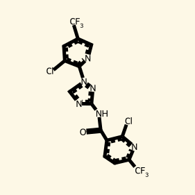 O=C(Nc1ncn(-c2ncc(C(F)(F)F)cc2Cl)n1)c1ccc(C(F)(F)F)nc1Cl